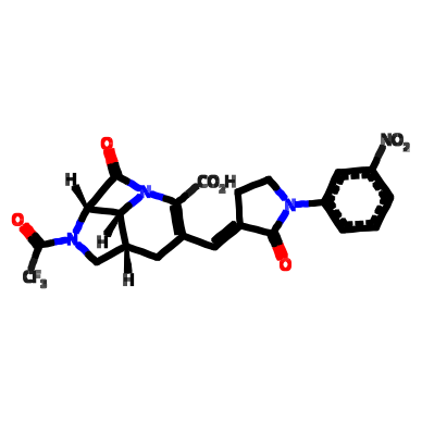 O=C(O)C1=C(/C=C2\CCN(c3cccc([N+](=O)[O-])c3)C2=O)C[C@@H]2CN(C(=O)C(F)(F)F)[C@@H]3C(=O)N1[C@H]23